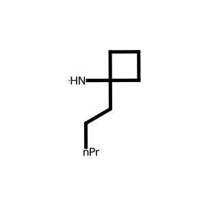 CCCCCC1([NH])CCC1